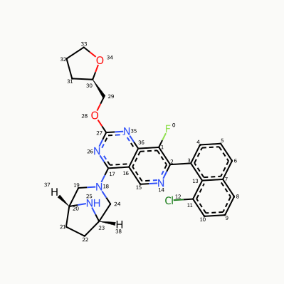 Fc1c(-c2cccc3cccc(Cl)c23)ncc2c(N3C[C@H]4CC[C@@H](C3)N4)nc(OC[C@H]3CCCO3)nc12